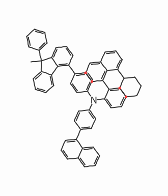 CC1(c2ccccc2)c2ccccc2-c2c(-c3ccc(N(c4ccc(-c5cccc6ccccc56)cc4)c4ccccc4-c4cccc5cccc(C6CCCCC6)c45)cc3)cccc21